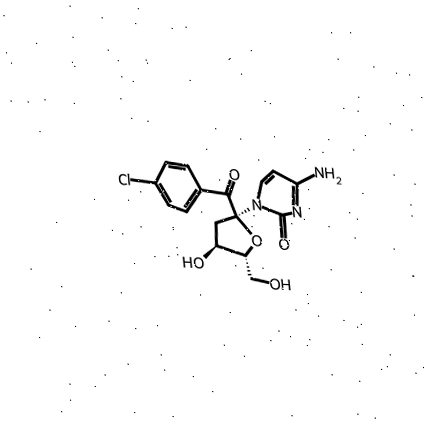 Nc1ccn([C@@]2(C(=O)c3ccc(Cl)cc3)C[C@H](O)[C@@H](CO)O2)c(=O)n1